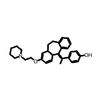 C/C(=C1/c2ccccc2CCC2C=C(OCCN3CCCCC3)C=CC12)c1ccc(O)cc1